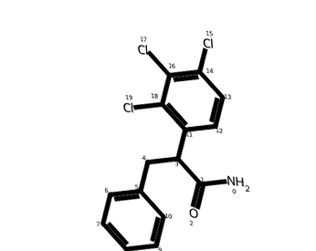 NC(=O)C(Cc1ccccc1)c1ccc(Cl)c(Cl)c1Cl